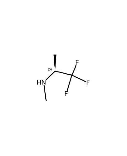 CN[C@@H](C)C(F)(F)F